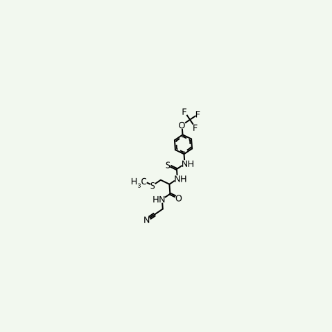 CSCC(NC(=S)Nc1ccc(OC(F)(F)F)cc1)C(=O)NCC#N